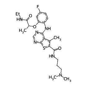 CCNC(=O)C(C)Oc1cc(F)ccc1Nc1ncnc2sc(C(=O)NCCCN(C)C)c(C)c12